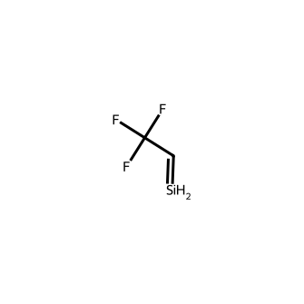 FC(F)(F)C=[SiH2]